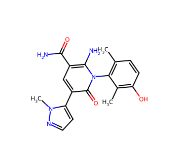 Cc1ccc(O)c(C)c1-n1c(N)c(C(N)=O)cc(-c2ccnn2C)c1=O